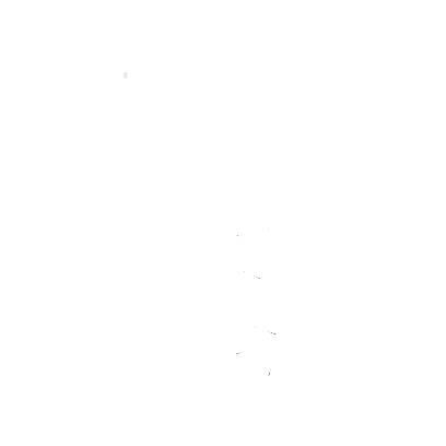 CC(C)CCC[C@@H](C)[C@H]1CCC2C3CCC4CC5(OC67CCOC6C[C@@]6(C)C(CCC8C6CC[C@@]6(C)C8CC[C@@H]6[C@H](C)CCCC(C)C)C7)CCOC5C[C@]4(C)C3CC[C@@]21C